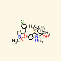 CC(=O)N1CCCC1C(Cc1ccc(Cl)cc1)Oc1ccc2[nH]c(CC(C)(C)O)c(SC(C)(C)C)c2c1